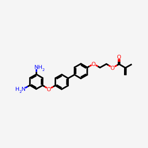 C=C(C)C(=O)OCCOc1ccc(-c2ccc(Oc3cc(N)cc(N)c3)cc2)cc1